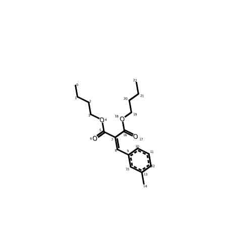 CCCCOC(=O)C(=Cc1cc[c]c(C)c1)C(=O)OCCCC